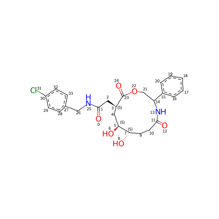 O=C(C[C@@H]1C[C@H](O)[C@@H](O)CCC(=O)NC(c2ccccc2)COC1=O)NCc1ccc(Cl)cc1